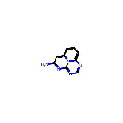 NC1=NC2=NC=NC3=CC=CC(=C1)N32